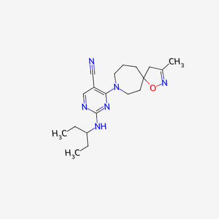 CCC(CC)Nc1ncc(C#N)c(N2CCCC3(CC2)CC(C)=NO3)n1